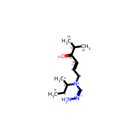 CCC(C)N(/C=N\N)C/C=C/C(=O)C(C)C